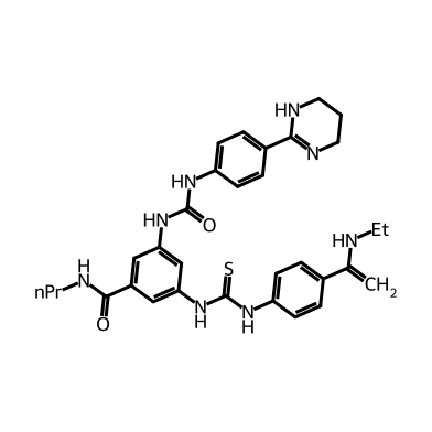 C=C(NCC)c1ccc(NC(=S)Nc2cc(NC(=O)Nc3ccc(C4=NCCCN4)cc3)cc(C(=O)NCCC)c2)cc1